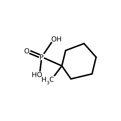 CC1(P(=O)(O)O)CCCCC1